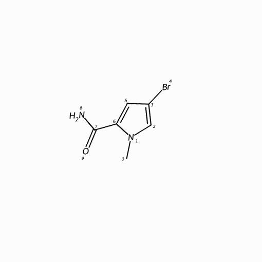 Cn1cc(Br)cc1C(N)=O